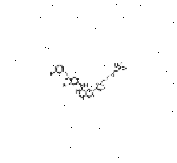 CS(=O)(=O)CCOCCCc1nc(-c2cc3c(Nc4ccc(OCc5cccc(F)c5)c(Br)c4)ncnc3cn2)cs1